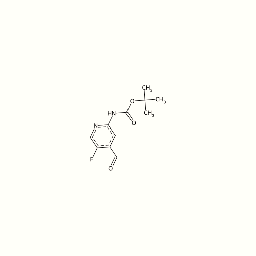 CC(C)(C)OC(=O)Nc1cc(C=O)c(F)cn1